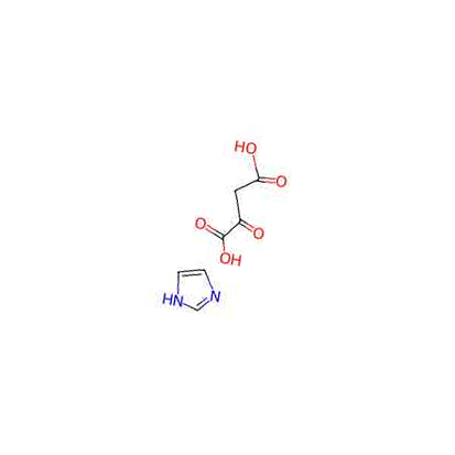 O=C(O)CC(=O)C(=O)O.c1c[nH]cn1